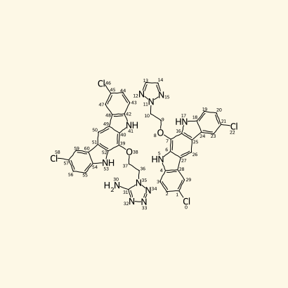 Clc1ccc2[nH]c3c(OCCn4nccn4)c4[nH]c5ccc(Cl)cc5c4cc3c2c1.Nc1nnnn1CCOc1c2[nH]c3ccc(Cl)cc3c2cc2c1[nH]c1ccc(Cl)cc12